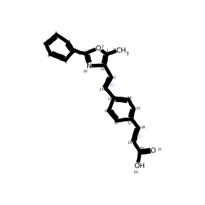 Cc1oc(-c2ccccc2)nc1/C=C/c1ccc(/C=C/C(=O)O)cc1